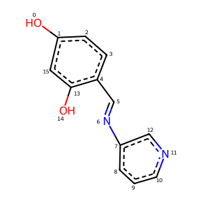 Oc1ccc(/C=N/c2cccnc2)c(O)c1